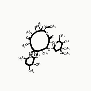 CC[C@H]1OC(=O)[C@H](C)[C@@H](O[C@H]2C[C@@](C)(OC)[C@@H](O)[C@H](C)O2)[C@H](C)[C@@H](O[C@@H]2O[C@H](C)C[C@H](N)[C@H]2O)[C@@](C)(OC)C[C@@H](C)C(=O)[C@H](C)[C@@H](O)[C@]1(C)O